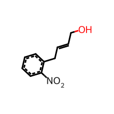 O=[N+]([O-])c1ccccc1CC=CCO